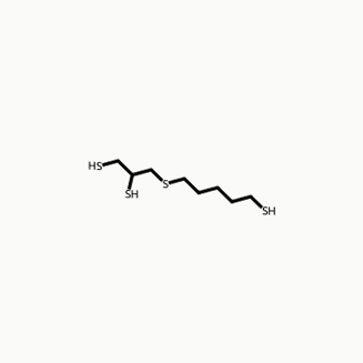 SCCCCCSCC(S)CS